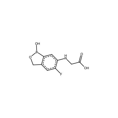 O=C(O)CNc1cc2c(cc1F)COB2O